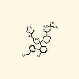 CCc1cccc(-c2c(Cl)cccc2[C@](O)(CCCNC(=O)OC)[C@@H]2CCCN(C(=O)OC(C)(C)C)C2)c1